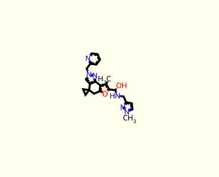 Cc1c(C(O)NCc2ccn(C)n2)oc2c1-c1nn(Cc3ccccn3)cc1C1(CC1)C2